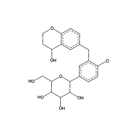 OCC1OC(c2ccc(Cl)c(Cc3ccc4c(c3)C(O)CCO4)c2)C(O)C(O)C1O